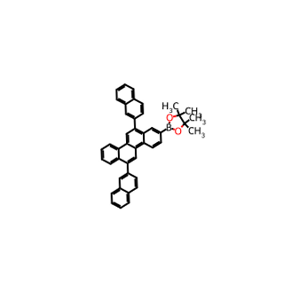 CC1(C)OB(c2ccc3c(c2)c(-c2ccc4ccccc4c2)cc2c4ccccc4c(-c4ccc5ccccc5c4)cc32)OC1(C)C